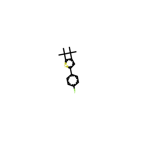 CC1(C)c2cc(-c3ccc(F)cc3)sc2C1(C)C